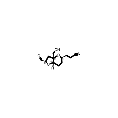 N#CCC[C@H]1CC[C@@H]2O[C@@H](C=O)C[C@]2(CO)O1